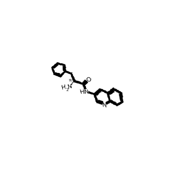 N[C@H](Cc1ccccc1)C(=O)Nc1cnc2ccccc2c1